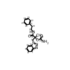 CC(Cn1nnc2ccccc21)(OC(N)=O)C(=O)NCCc1ccccc1